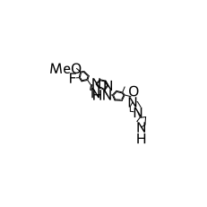 COc1ccc(-c2cnc3c(Nc4ccc(C(=O)N5CCN([C@H]6CCNC6)CC5)c(C)c4)nccn23)cc1F